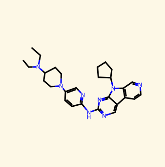 CCN(CC)C1CCN(c2ccc(Nc3ncc4c5ccncc5n(C5CCCC5)c4n3)nc2)CC1